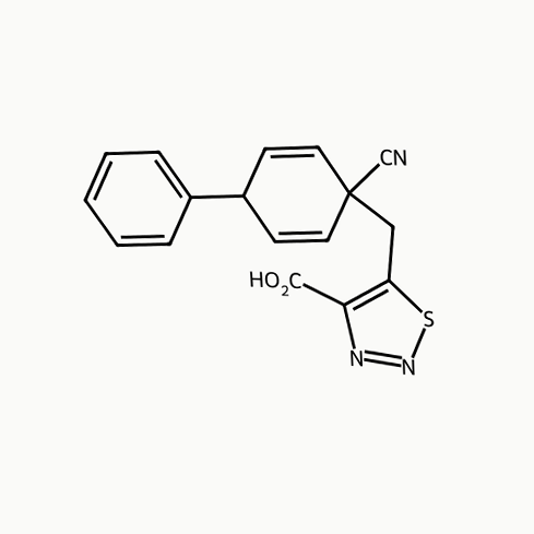 N#CC1(Cc2snnc2C(=O)O)C=CC(c2ccccc2)C=C1